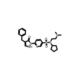 CN(C)CCN(C1CCCC1)S(=O)(=O)c1ccc(-n2[nH]cc(Cc3ccccc3)c2=O)nc1